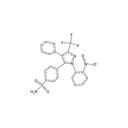 NS(=O)(=O)c1ccc(-c2c(-c3ccccc3)c(C(F)(F)F)nn2-c2ccccc2[N+](=O)[O-])cc1